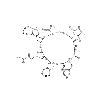 C[C@H]1NC(=O)[C@@H](N2C(=O)NC(C)(C)C2=O)CSSC[C@@H](C(N)=O)NC(=O)C(Cc2c[nH]c3ccccc23)NC(=O)[C@H](CCCNC(=N)N)NC(=O)[C@@H](Cc2ccccc2)NC(=O)[C@H](Cc2cnc[nH]2)NC1=O